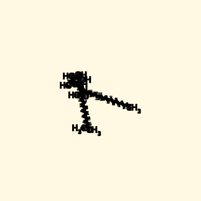 CCCCCCCCCCCCCCCCC(=O)NC(CO[C@H]1OC(CO)[C@H](O)C(O)C1O)[C@H](O)CCCCCCCCCCCC(C)C